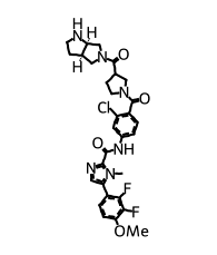 COc1ccc(-c2cnc(C(=O)Nc3ccc(C(=O)N4CCC(C(=O)N5C[C@H]6CCN[C@H]6C5)C4)c(Cl)c3)n2C)c(F)c1F